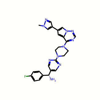 Cn1cc(-c2cc3c(N4CCN(c5ncc([C@H](N)c6ccc(F)cc6)cn5)CC4)ncnn3c2)cn1